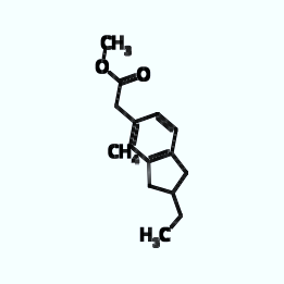 C.CCC1Cc2ccc(CC(=O)OC)cc2C1